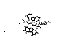 CCCCC(C1=c2ccccc2=C2C=CC=CC21)C(CCCC)C1c2ccccc2-c2ccccc21.[Cl-].[Cl-].[Zr+2]